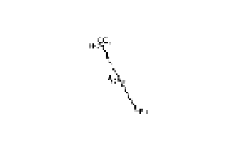 C=COC(C)=O.CC(C)(C)CCCCCCCCCCCCCCCCCCCCCCC(O)C(=O)O